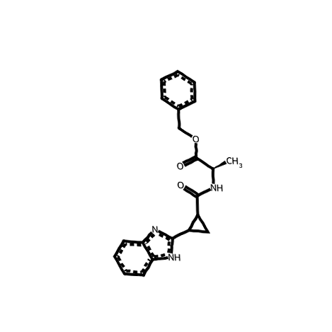 C[C@@H](NC(=O)C1CC1c1nc2ccccc2[nH]1)C(=O)OCc1ccccc1